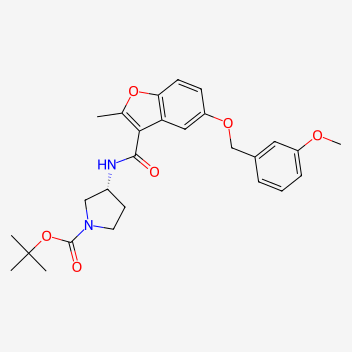 COc1cccc(COc2ccc3oc(C)c(C(=O)N[C@@H]4CCN(C(=O)OC(C)(C)C)C4)c3c2)c1